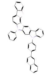 c1ccc(-n2c3cc4c(cc3c3c5oc6ccccc6c5ccc32)c2ccccc2n4-c2ccc(-c3ccc4ccccc4c3)cc2)cc1